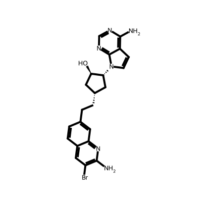 Nc1nc2cc(CC[C@@H]3C[C@@H](O)[C@H](n4ccc5c(N)ncnc54)C3)ccc2cc1Br